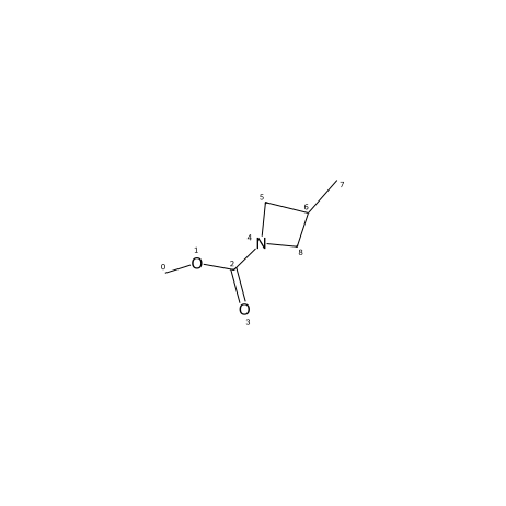 COC(=O)N1CC(C)C1